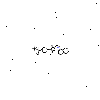 CC(C)(C)OC(=O)N1CCC(c2nc(/C=C\c3cccc4ccccc34)cs2)CC1